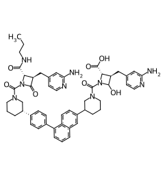 CCCNC(=O)[C@@H]1[C@@H](Cc2ccnc(N)c2)C(=O)N1C(=O)N1CCC[C@@H](c2ccc(-c3cccc4cc(C5CCCN(C(=O)N6C(O)[C@H](Cc7ccnc(N)c7)[C@H]6C(=O)O)C5)ccc34)cc2)C1